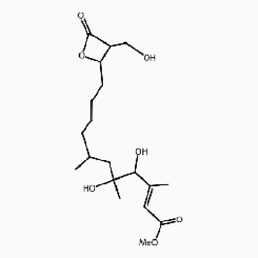 COC(=O)C=C(C)C(O)C(C)(O)CC(C)CCCCC1OC(=O)C1CO